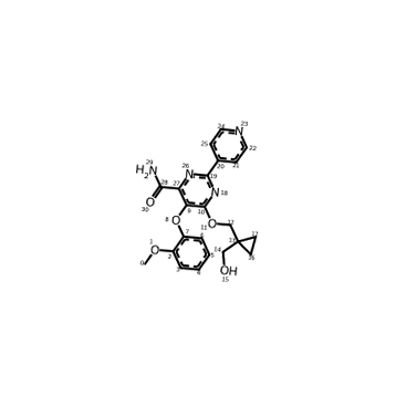 COc1ccccc1Oc1c(OCC2(CO)CC2)nc(-c2ccncc2)nc1C(N)=O